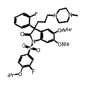 COc1cc2c(cc1OC)C(CCCN1CCN(C)CC1)(c1ccccc1F)C(=O)N2S(=O)(=O)c1ccc(OC(C)C)c(F)c1